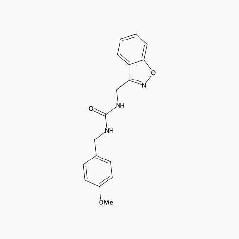 COc1ccc(CNC(=O)NCc2noc3ccccc23)cc1